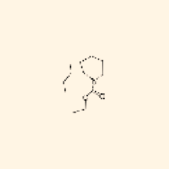 CCCC.CCOC(=O)N1CCCCC1